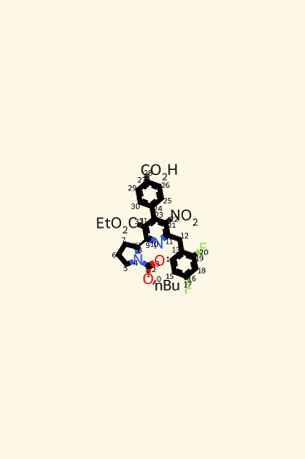 CCCCOC(=O)N1CCC[C@H]1c1nc(Cc2ccc(F)cc2F)c([N+](=O)[O-])c(-c2ccc(C(=O)O)cc2)c1C(=O)OCC